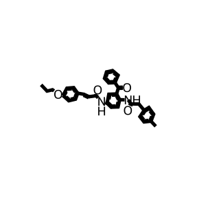 CCCOc1ccc(C=CC(=O)Nc2ccc(NC(=O)Cc3ccc(C)cc3)c(C(=O)c3ccccc3)c2)cc1